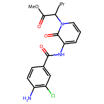 COC(=O)C(C(C)C)n1cccc(NC(=O)c2ccc(N)c(Cl)c2)c1=O